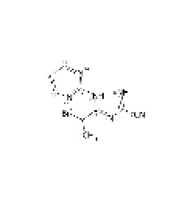 CC(Br)/C(=N/C(=N)C#N)Nc1ncccn1